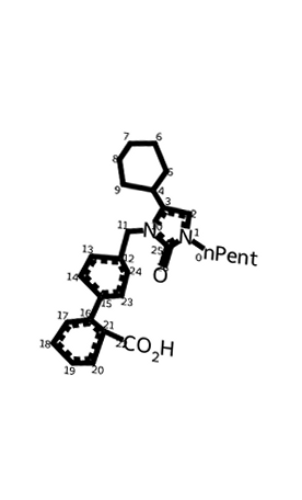 CCCCCn1cc(C2CCCCC2)n(Cc2ccc(-c3ccccc3C(=O)O)cc2)c1=O